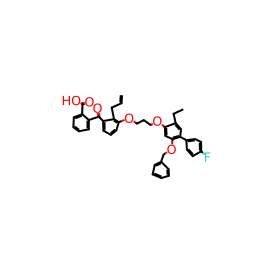 C=CCc1c(OCCCOc2cc(OCc3ccccc3)c(-c3ccc(F)cc3)cc2CC)cccc1C(=O)c1ccccc1C(=O)O